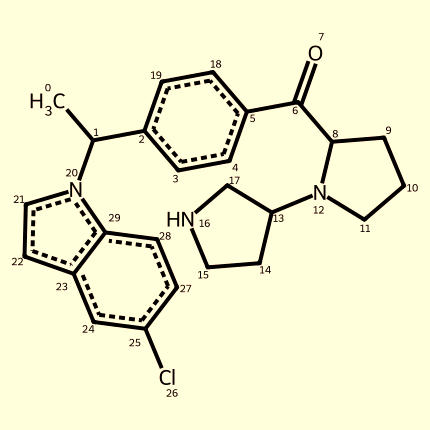 CC(c1ccc(C(=O)C2CCCN2C2CCNC2)cc1)n1ccc2cc(Cl)ccc21